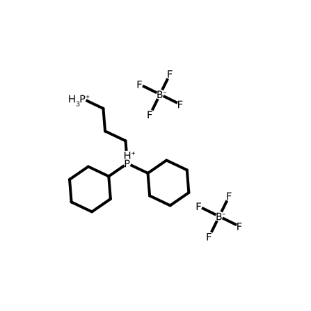 F[B-](F)(F)F.F[B-](F)(F)F.[PH3+]CCC[PH+](C1CCCCC1)C1CCCCC1